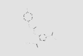 CCC(C(=O)Nc1sc(C(N)=O)c(C)c1C(=O)OC)c1ccc(C)cc1